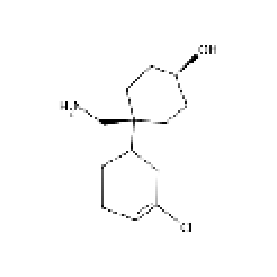 NC[C@]1(C2C=CC=C(Cl)C2)CC[C@H](O)CC1